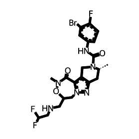 C[C@@H]1Cc2nn3c(c2CN1C(=O)Nc1ccc(F)c(Br)c1)C(=O)N(C)OC(CNCC(F)F)C3